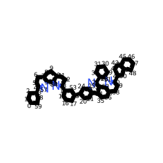 c1ccc(-c2ccc3ccc4ccc(-c5cccc(-c6ccc7c(c6)nc(-c6ccccc6)c6c7ccc7ccc(-c8ccc9ccccc9c8)nc76)c5)nc4c3n2)cc1